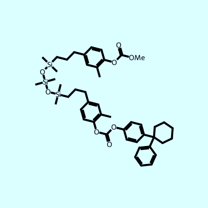 COC(=O)Oc1ccc(CCC[Si](C)(C)O[Si](C)(C)O[Si](C)(C)CCCc2ccc(OC(=O)Oc3ccc(C4(c5ccccc5)CCCCC4)cc3)c(C)c2)cc1C